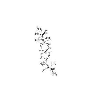 CC(C)(C(=O)NN)C1OCC2(CO1)COC(C(C)(C)C(=O)NN)OC2